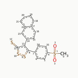 CS(=O)(=O)c1ccc(-c2ssc(=S)c2-c2ccc3ccccc3c2)cc1